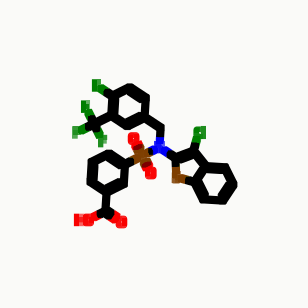 O=C(O)c1cccc(S(=O)(=O)N(Cc2ccc(F)c(C(F)(F)F)c2)c2sc3ccccc3c2Cl)c1